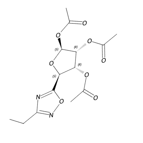 CCc1noc([C@H]2O[C@@H](OC(C)=O)[C@H](OC(C)=O)[C@@H]2OC(C)=O)n1